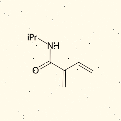 C=CC(=C)C(=O)NC(C)C